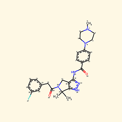 CN1CCN(c2ccc(C(=O)Nc3n[nH]c4c3CN(C(=O)Cc3cccc(F)c3)C4(C)C)cc2)CC1